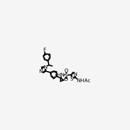 CC(=O)Nc1ncc(S(=O)(=O)NC2(c3ccc(-c4cncn4C(C)c4ccc(F)cc4)cc3)CC2)s1